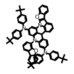 CC(C)(C)c1ccc(N(c2ccc(C(C)(C)C)cc2)c2ccc3c(c2)N(c2cccc4c2oc2ccccc24)c2cc(N(c4ccc(C(C)(C)C)cc4)c4ccc(C(C)(C)C)cc4)cc4c2C3c2cccc3c5c6ccccc6oc5n-4c23)cc1